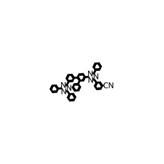 N#Cc1cccc(-c2nc(-c3ccccc3)nc(-c3ccc(-c4cccc(-c5nc(-c6ccccc6)nc(-c6ccccc6)n5)c4)c(-c4ccccc4)c3)n2)c1